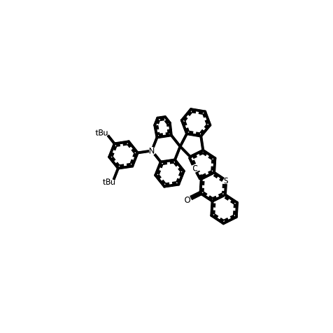 CC(C)(C)c1cc(N2c3ccccc3C3(c4ccccc4-c4cc5sc6ccccc6c(=O)c5cc43)c3ccccc32)cc(C(C)(C)C)c1